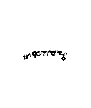 Cc1c(OCc2cnco2)ccc2c1CCN(CC(O)CNC(=O)c1ccnc(NC3CN(C(=O)C4CCC4)C3)c1)C2